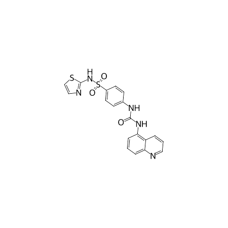 O=C(Nc1ccc(S(=O)(=O)Nc2nccs2)cc1)Nc1cccc2ncccc12